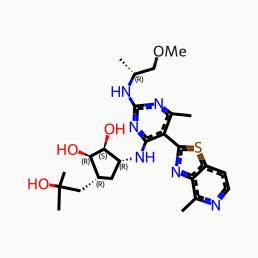 COC[C@@H](C)Nc1nc(C)c(-c2nc3c(C)nccc3s2)c(N[C@@H]2C[C@H](CC(C)(C)O)[C@@H](O)[C@H]2O)n1